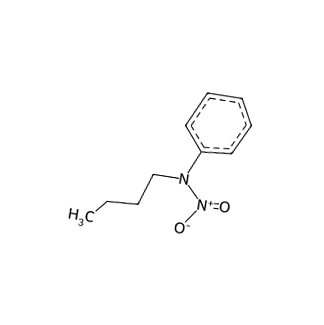 CCCCN(c1ccccc1)[N+](=O)[O-]